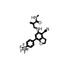 C=C(CNc1cc(-c2ccc(S(F)(F)(F)(F)F)cc2)c2c(c1C#N)CCO2)C(=O)NC